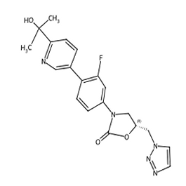 CC(C)(O)c1ccc(-c2ccc(N3C[C@H](Cn4ccnn4)OC3=O)cc2F)cn1